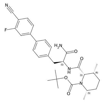 C[C@@H]1CC[C@H](C)N(C(=O)OC(C)(C)C)[C@@H]1C(=O)N[C@@H](Cc1ccc(-c2ccc(C#N)c(F)c2)cc1)C(N)=O